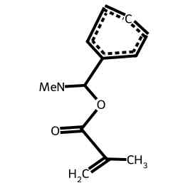 C=C(C)C(=O)OC(NC)c1ccccc1